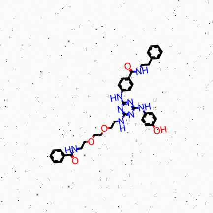 O=C(NCCOCCOCCNc1nc(Nc2ccc(O)cc2)nc(Nc2ccc(C(=O)NCCc3ccccc3)cc2)n1)c1ccccc1